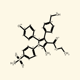 CCOC(=O)c1c(-c2ccc(CO)cc2)c(-c2ccc(Cl)cc2)n(-c2ccc(S(N)(=O)=O)cc2)c1C